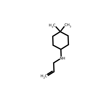 C=CCNC1CCC(C)(C)CC1